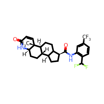 C[C@]12C=CC(=O)N[C@@H]1CC[C@H]1[C@@H]3CC[C@H](C(=O)Nc4cc(C(F)(F)F)ccc4C(F)F)C3CC[C@@H]12